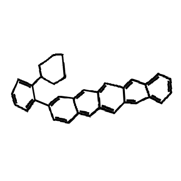 c1ccc(C2CCCCC2)c(-c2ccc3cc4cc5cc6ccccc6cc5cc4cc3c2)c1